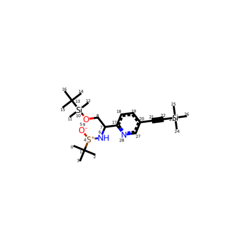 CC(C)(C)[S+]([O-])NC(CO[Si](C)(C)C(C)(C)C)c1ccc(C#C[Si](C)(C)C)cn1